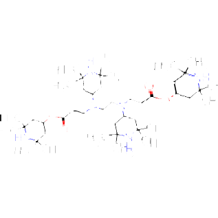 CC1(C)CC(OC(=O)CCN(CCN(CCC(=O)OC2CC(C)(C)NC(C)(C)C2)C2CC(C)(C)NC(C)(C)C2)C2CC(C)(C)NC(C)(C)C2)CC(C)(C)N1